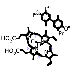 C=CC1=C(C)/C2=C/c3c(C=C)c(C)c4[n]3[Fe]([Cl])[n]3/c(c(C)c(CCC(=O)O)/c3=C/C3=NC(=C\4)/C(C)=C3CCC(=O)O)=C\C1=N2.Cc1cc(OI)c(C(C)C)cc1-c1cc(C(C)C)c(OI)cc1C